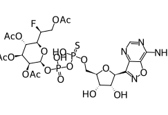 CC(=O)OC[C@H](F)[C@H]1O[C@@H](OP(=O)(O)OP(O)(=S)OC[C@H]2O[C@@H](c3noc4c(N)ncnc34)[C@H](O)[C@@H]2O)[C@@H](OC(C)=O)[C@@H](OC(C)=O)[C@@H]1OC(C)=O